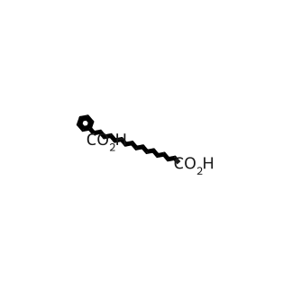 O=C(O)CCCCCCCCCCCCCCCC(C(=O)O)c1ccccc1